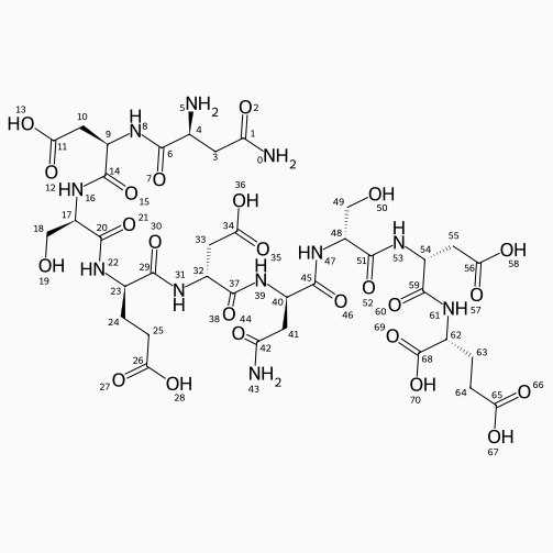 NC(=O)C[C@H](N)C(=O)N[C@H](CC(=O)O)C(=O)N[C@H](CO)C(=O)N[C@H](CCC(=O)O)C(=O)N[C@H](CC(=O)O)C(=O)N[C@H](CC(N)=O)C(=O)N[C@H](CO)C(=O)N[C@H](CC(=O)O)C(=O)N[C@H](CCC(=O)O)C(=O)O